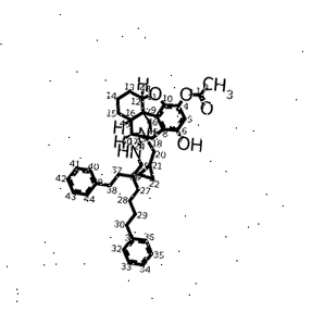 CC(=O)Oc1cc(O)c2c3c1O[C@H]1CCC[C@H]4[C@@H](C2)[N+](CC2CC2)(NCC(CCCCc2ccccc2)CCc2ccccc2)CC[C@]314